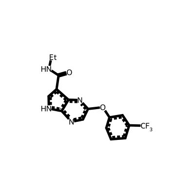 CCNC(=O)c1c[nH]c2ncc(Oc3cccc(C(F)(F)F)c3)nc12